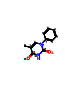 Cc1cn(-c2ccccc2)c(=O)[nH]c1=O